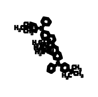 CC(C)(C)c1ccc(N(c2ccccc2)c2ccc3cc4c(cc3c2)C([Si](C)(C)C)([Si](C)(C)C)c2c-4ccc3cc(N(c4ccccc4)c4ccc(C(C)(C)C)cc4)ccc23)cc1